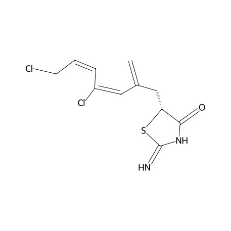 C=C(/C=C(Cl)\C=C/CCl)C[C@H]1SC(=N)NC1=O